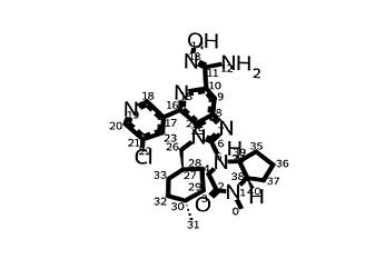 CN1C(=O)CN(c2nc3cc(/C(N)=N/O)nc(-c4cncc(Cl)c4)c3n2C[C@H]2CC[C@H](C)CC2)[C@H]2CCC[C@@H]21